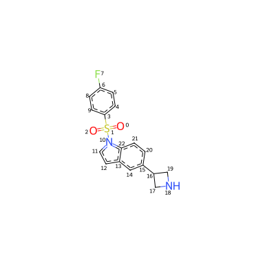 O=S(=O)(c1ccc(F)cc1)n1ccc2cc(C3CNC3)ccc21